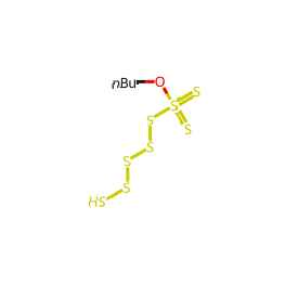 CCCCOS(=S)(=S)SSSSS